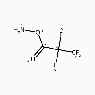 NOC(=O)C(F)(F)C(F)(F)F